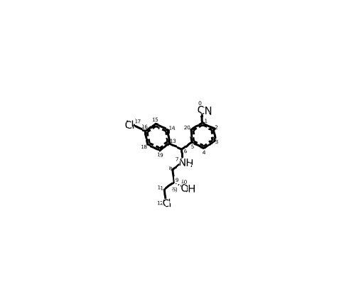 N#Cc1cccc(C(NC[C@H](O)CCl)c2ccc(Cl)cc2)c1